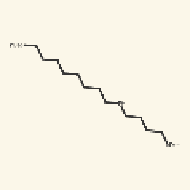 CCCCCCCCCCCCCCCCCCPCCCCCCCCCCCCCC